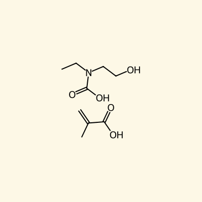 C=C(C)C(=O)O.CCN(CCO)C(=O)O